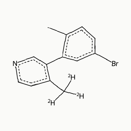 [2H]C([2H])([2H])c1ccncc1-c1cc(Br)ccc1C